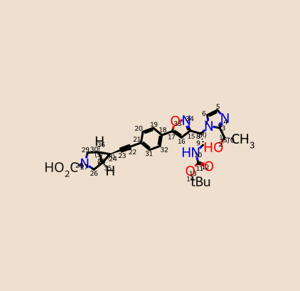 C[C@H](O)c1nccn1[C@H](CNC(=O)OC(C)(C)C)c1cc(-c2ccc(C#C[C@H]3[C@H]4CN(C(=O)O)C[C@@H]34)cc2)on1